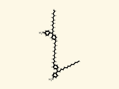 CCCCCCCCCCCCC(c1ccc(N)cc1)c1ccc(CCCCCCCCCCCCc2ccc(C(CCCCCCCCCCCC)c3ccc(N)cc3)cc2)cc1